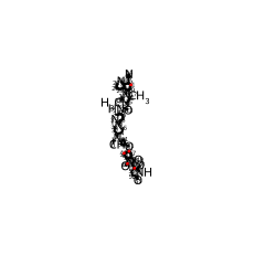 CCN(C1CCN(c2ccc(NC(=O)N3C[C@H](C)N(c4ccc(C#N)c5ncccc45)C[C@H]3C)cn2)CC1)C1CC(Oc2ccc3c(c2)C(=O)N(C2CCC(=O)NC2=O)C3=O)C1